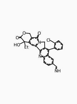 CCC1(O)C(=O)OCc2c1cc1n(c2=O)Cc2c-1nc1ccc(C=N)cc1c2-c1ccccc1Cl